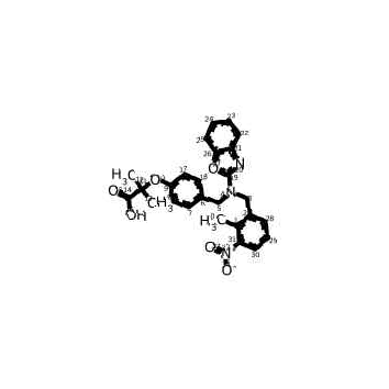 Cc1c(CN(Cc2ccc(OC(C)(C)C(=O)O)cc2)c2nc3ccccc3o2)cccc1[N+](=O)[O-]